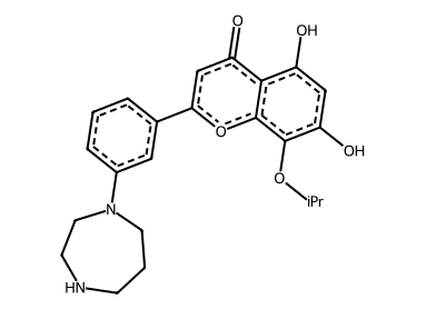 CC(C)Oc1c(O)cc(O)c2c(=O)cc(-c3cccc(N4CCCNCC4)c3)oc12